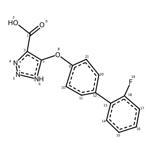 O=C(O)c1nn[nH]c1Oc1ccc(-c2ccccc2F)cc1